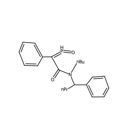 CCCCN(C(=O)C(=[PH]=O)c1ccccc1)C(CCC)c1ccccc1